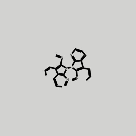 C=Nc1c(/C=C\C)c(/C=C\C)c(N=C)p1-p1c(N=C)c(/C=C\C)c2cccnc21